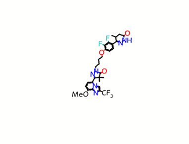 COc1ccc(C2=NN(CCCCOc3ccc(C4=NNC(=O)CC4C)c(F)c3F)C(=O)C2(C)C)n2cc(C(F)(F)F)nc12